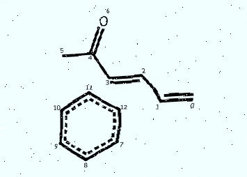 C=CC=CC(C)=O.c1ccccc1